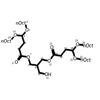 CCCCCCCCOC(CCC(=O)OCC(CO)COC(=O)CCC(OCCCCCCCC)OCCCCCCCC)OCCCCCCCC